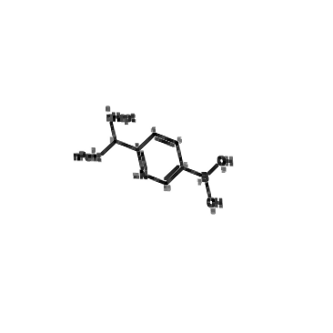 CCCCCCCC(CCCCC)c1ccc(B(O)O)cn1